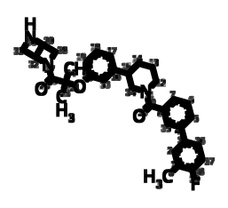 Cc1cc(-c2cccc(C(=O)N3CCCC(c4cccc(OC(C)(C)C(=O)N5CC6NCC65)c4)C3)c2)ccc1F